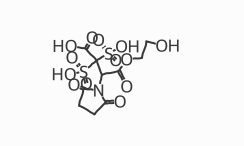 O=C(OCCO)C(N1C(=O)CCC1=O)C(C(=O)O)(S(=O)(=O)O)S(=O)(=O)O